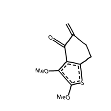 C=C1CCc2sc(OC)c(OC)c2C1=O